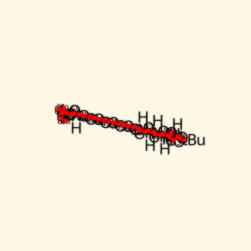 CC(C)(C)OC(=O)N[C@H]1CO[C@H]2[C@@H]1OC[C@@H]2NC(=O)CNC(=O)CNC(=O)CNC(=O)COCCOCCOCCOCCOCCOCCOCCOCCNC(=O)OCC1c2ccccc2-c2ccccc21